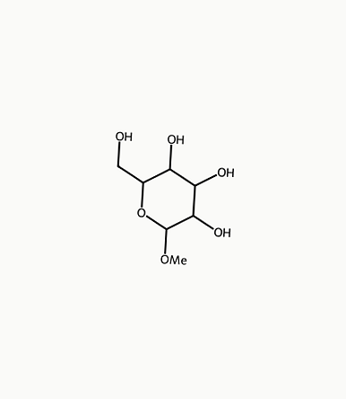 COC1OC(CO)C(O)C(O)C1O